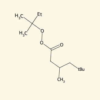 CCC(C)(C)OOC(=O)CC(C)CC(C)(C)C